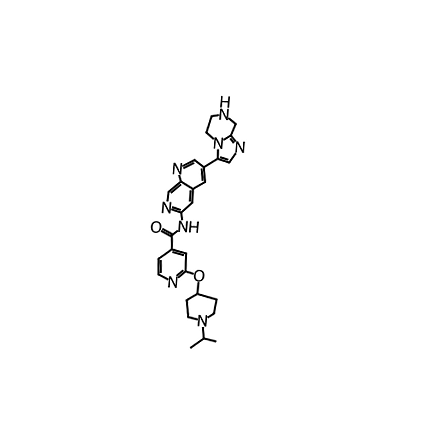 CC(C)N1CCC(Oc2cc(C(=O)Nc3cc4cc(-c5cnc6n5CCNC6)cnc4cn3)ccn2)CC1